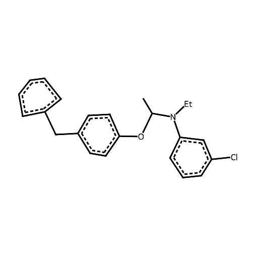 CCN(c1cccc(Cl)c1)C(C)Oc1ccc(Cc2ccccc2)cc1